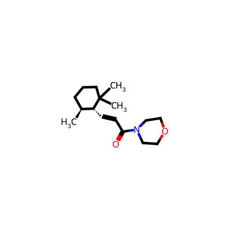 C[C@H]1CCCC(C)(C)[C@@H]1C=CC(=O)N1CCOCC1